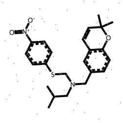 CC(C)CN(CSc1ccc([N+](=O)[O-])cc1)Cc1ccc2c(c1)C=CC(C)(C)O2